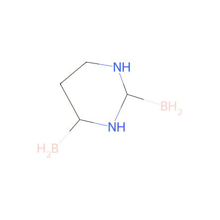 BC1CCNC(B)N1